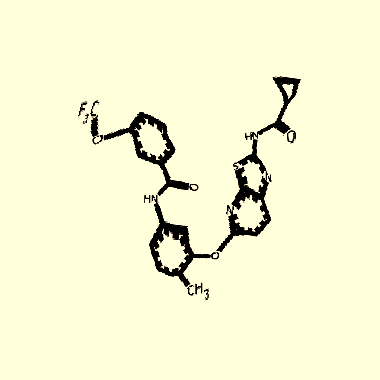 Cc1ccc(NC(=O)c2cccc(OC(F)(F)F)c2)cc1Oc1ccc2nc(NC(=O)C3CC3)sc2n1